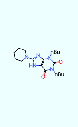 CCCCn1c(=O)c2[nH]c(N3CCCCC3)nc2n(CCCC)c1=O